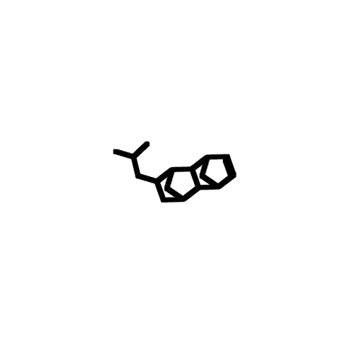 CC(C)CC1CC2CC1C1C3C=CC(C3)C21